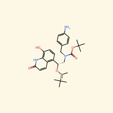 C[SiH](O[C@@H](CN(Cc1ccc(N)cc1)C(=O)OC(C)(C)C)c1ccc(O)c2[nH]c(=O)ccc12)C(C)(C)C